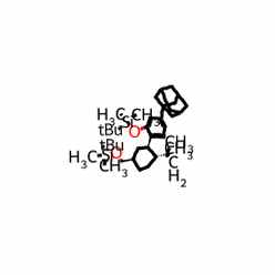 C=C(C)[C@@H]1CC[C@@H](CO[Si](C)(C)C(C)(C)C)C[C@H]1c1c(C)cc(C23CC4CC(CC(C4)C2)C3)cc1O[Si](C)(C)C(C)(C)C